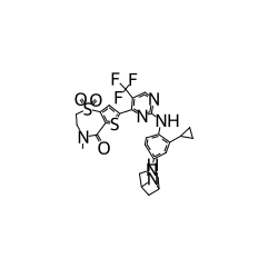 CN1CCS(=O)(=O)c2cc(-c3nc(Nc4ccc(N5CC6CC(C5)N6)cc4C4CC4)ncc3C(F)(F)F)sc2C1=O